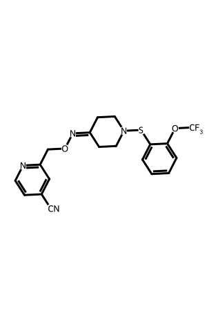 N#Cc1ccnc(CON=C2CCN(Sc3ccccc3OC(F)(F)F)CC2)c1